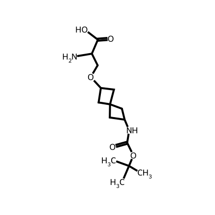 CC(C)(C)OC(=O)NC1CC2(C1)CC(OCC(N)C(=O)O)C2